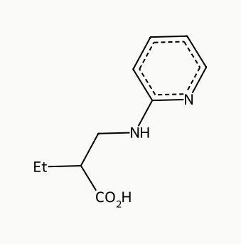 CCC(CNc1ccccn1)C(=O)O